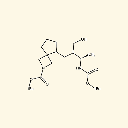 C[C@@H](NC(=O)OC(C)(C)C)C(CO)CC1CCCC12CN(C(=O)OC(C)(C)C)C2